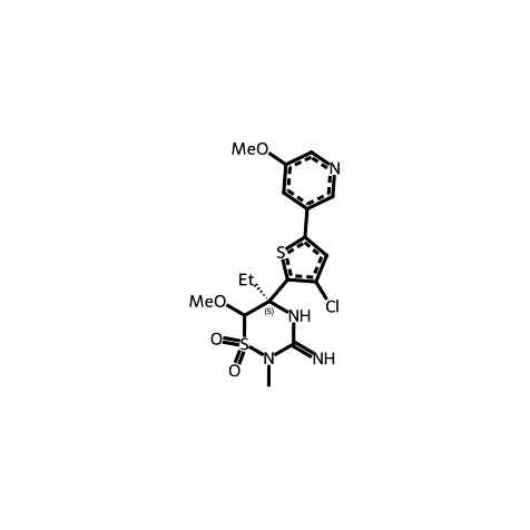 CC[C@]1(c2sc(-c3cncc(OC)c3)cc2Cl)NC(=N)N(C)S(=O)(=O)C1OC